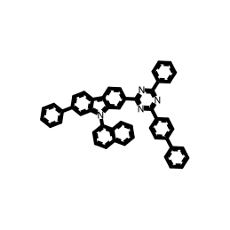 c1ccc(-c2ccc(-c3nc(-c4ccccc4)nc(-c4ccc5c6ccc(-c7ccccc7)cc6n(-c6cccc7ccccc67)c5c4)n3)cc2)cc1